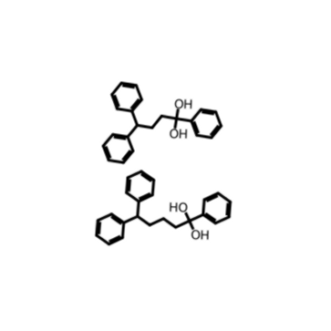 OC(O)(CCC(c1ccccc1)c1ccccc1)c1ccccc1.OC(O)(CCCC(c1ccccc1)c1ccccc1)c1ccccc1